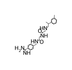 Cc1cccc(C(C)CNCC(=O)NCC(=O)NCc2ccc(C(=N)N)cc2)c1